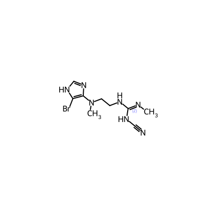 C/N=C(\NC#N)NCCN(C)c1nc[nH]c1Br